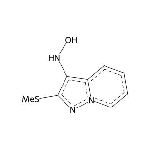 CSc1nn2ccccc2c1NO